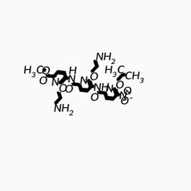 COC(=O)c1ccc(NC(=O)c2ccc(NC(=O)c3ccc([N+](=O)[O-])c(OCC(C)C)n3)c(OCCCN)n2)c(OCCCN)n1